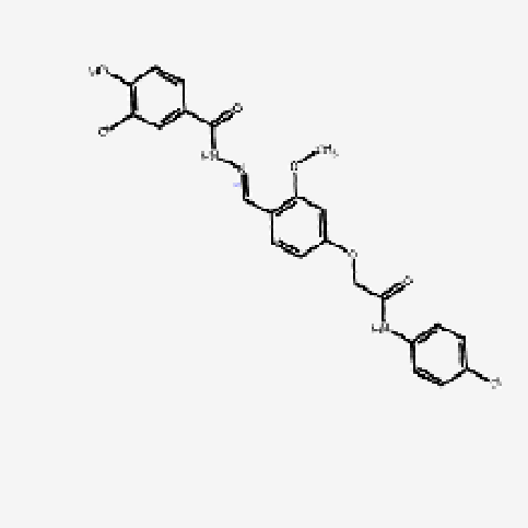 COc1cc(OCC(=O)Nc2ccc(Cl)cc2)ccc1/C=N/NC(=O)c1ccc(O)c(Cl)c1